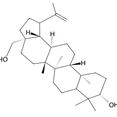 C=C(C)C1CC[C@]2(CO)CC[C@]3(C)[C@H](CC[C@@H]4[C@@]5(C)CC[C@H](O)C(C)(C)C5CC[C@]43C)[C@@H]12